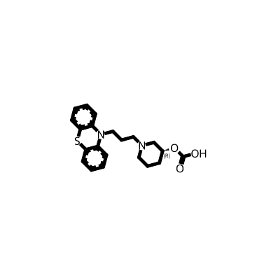 O=C(O)O[C@@H]1CCCN(CCCN2c3ccccc3Sc3ccccc32)C1